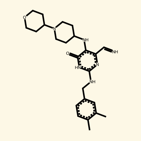 Cc1ccc(CNc2nc(C=N)c(NC3CCN(C4CCOCC4)CC3)c(=O)[nH]2)cc1C